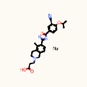 Cc1c(-c2noc(-c3ccc(OC(C)C)c(C#N)c3)n2)ccc2c1CCN(CCC(=O)O)C2.[Na]